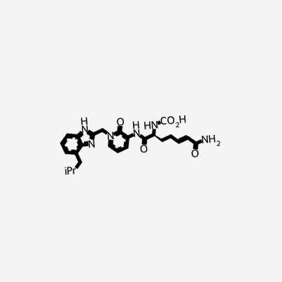 CC(C)Cc1cccc2[nH]c(Cn3cccc(NC(=O)[C@H](CC/C=C/C(N)=O)NC(=O)O)c3=O)nc12